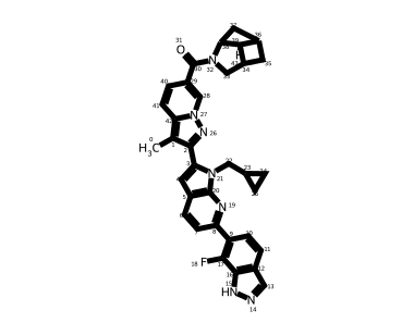 Cc1c(-c2cc3ccc(-c4ccc5cn[nH]c5c4F)nc3n2CC2CC2)nn2cc(C(=O)N3CC4CC5CC3[C@H]54)ccc12